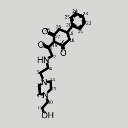 O=C(CNCCN1CCN(CCO)CC1)C1C(=O)CC(c2ccccc2)CC1=O